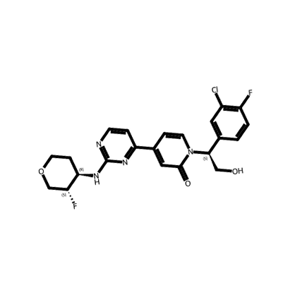 O=c1cc(-c2ccnc(N[C@@H]3CCOC[C@H]3F)n2)ccn1[C@H](CO)c1ccc(F)c(Cl)c1